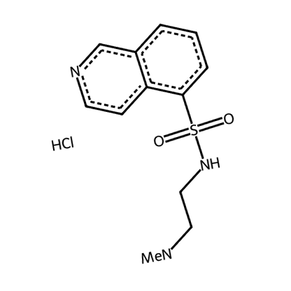 CNCCNS(=O)(=O)c1cccc2cnccc12.Cl